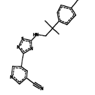 CC(C)(CNc1nc(-c2cncc(C#N)c2)ns1)c1ccc(F)cc1